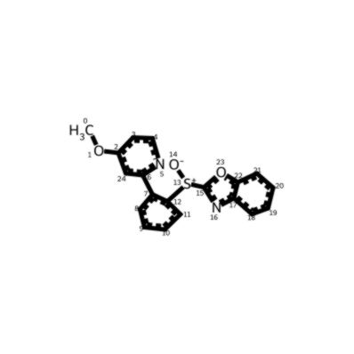 COc1ccnc(-c2ccccc2[S+]([O-])c2nc3ccccc3o2)c1